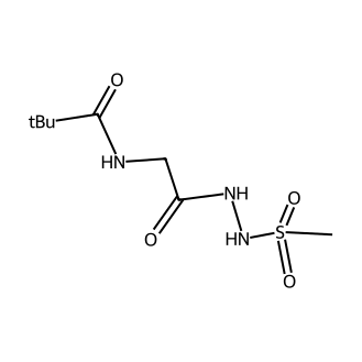 CC(C)(C)C(=O)NCC(=O)NNS(C)(=O)=O